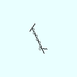 CCCCCC(CCC)OCCOCCOCCOCCOCCOCC(=O)C(CCCC)CCCC